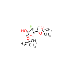 CC(C)(C)O[C@H]1O[C@H](C2COC(C)(C)O2)[C@H](F)[C@H]1O